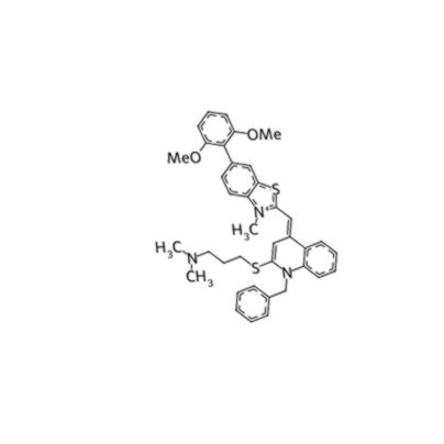 COc1cccc(OC)c1-c1ccc2c(c1)sc(C=C1C=C(SCCCN(C)C)N(Cc3ccccc3)c3ccccc31)[n+]2C